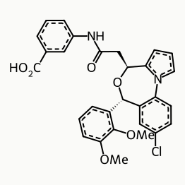 COc1cccc([C@@H]2O[C@@H](CC(=O)Nc3cccc(C(=O)O)c3)c3cccn3-c3ccc(Cl)cc32)c1OC